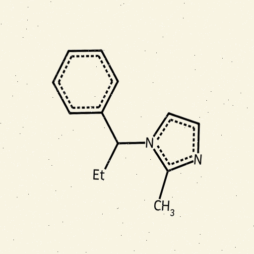 CCC(c1ccccc1)n1ccnc1C